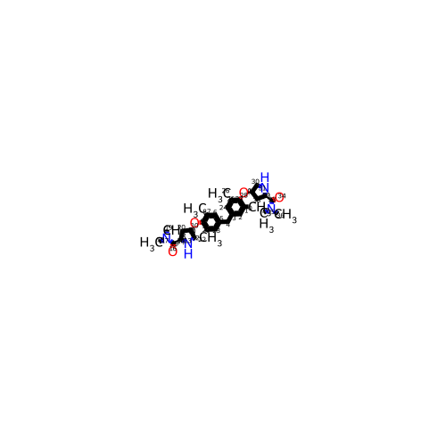 Cc1cc(Cc2cc(C)c(O[C@H]3CN[C@@H](C(=O)N(C)C)C3)c(C)c2)cc(C)c1O[C@H]1CN[C@@H](C(=O)N(C)C)C1